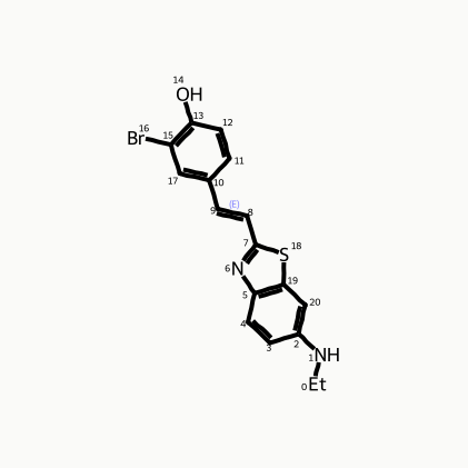 CCNc1ccc2nc(/C=C/c3ccc(O)c(Br)c3)sc2c1